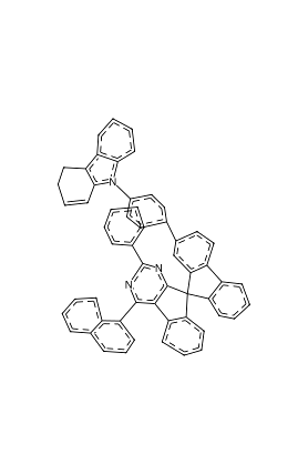 C1=Cc2c(c3ccccc3n2-c2ccc(-c3ccc4c(c3)C3(c5ccccc5-4)c4ccccc4-c4c(-c5cccc6ccccc56)nc(-c5ccccc5)nc43)cc2)CC1